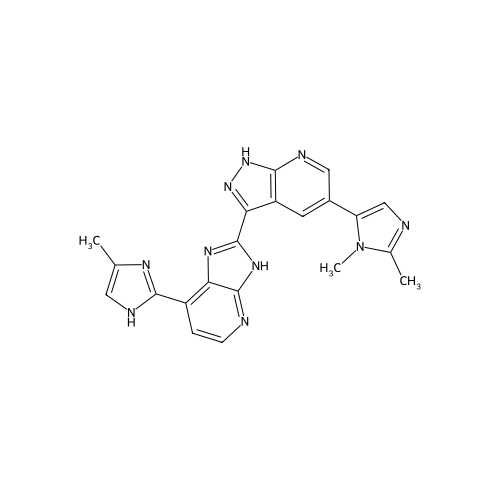 Cc1c[nH]c(-c2ccnc3[nH]c(-c4n[nH]c5ncc(-c6cnc(C)n6C)cc45)nc23)n1